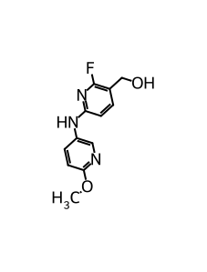 COc1ccc(Nc2ccc(CO)c(F)n2)cn1